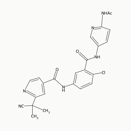 CC(=O)Nc1ccc(NC(=O)c2cc(NC(=O)c3ccnc(C(C)(C)C#N)c3)ccc2Cl)cn1